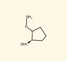 O=C[C@@H]1CCCN1O[SiH3]